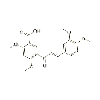 COc1ccc(C=CC(=O)c2cc(C(=O)O)c(OC)cc2OC)cc1OC